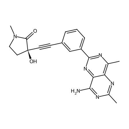 Cc1nc(N)c2nc(-c3cccc(C#C[C@]4(O)CCN(C)C4=O)c3)nc(C)c2n1